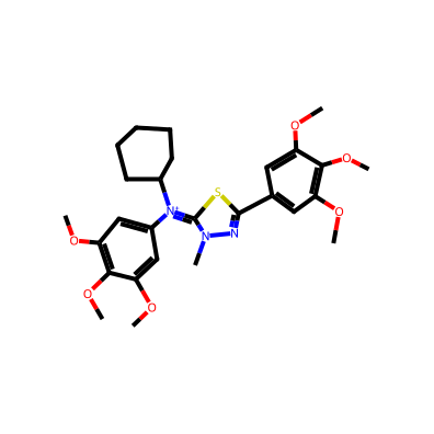 COc1cc(-c2nn(C)c(=[N+](c3cc(OC)c(OC)c(OC)c3)C3CCCCC3)s2)cc(OC)c1OC